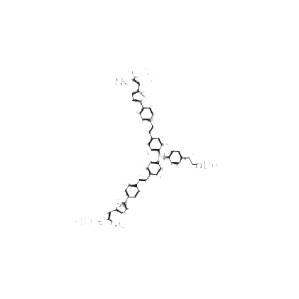 [C-]#[N+]/C(=C\c1ccc(-c2ccc(/C=C/c3ccc(N(c4ccc(/C=C/c5ccc(-c6ccc(/C=C(\C#N)C(=O)O)s6)cc5)cc4)c4ccc(CCCCCCCCCCCC)cc4)cc3)cc2)s1)C(=O)O